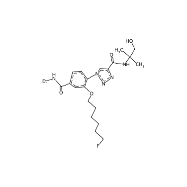 CCNC(=O)c1ccc(-n2cc(C(=O)NC(C)(C)CO)nn2)c(OCCCCCCF)c1